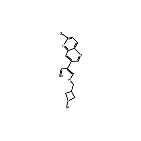 N=C/C(=C\NCC1CN(S)C1)c1cnc2ccc(Cl)nc2c1